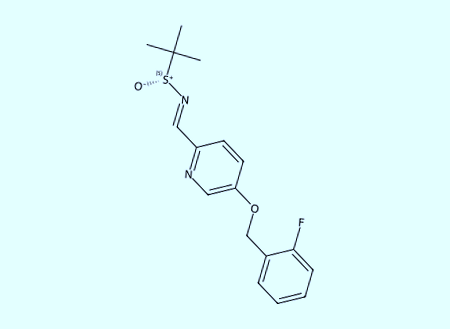 CC(C)(C)[S@@+]([O-])N=Cc1ccc(OCc2ccccc2F)cn1